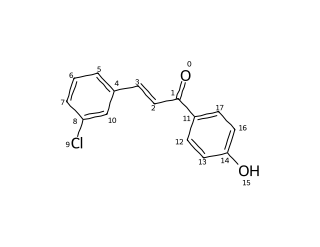 O=C(C=Cc1cccc(Cl)c1)c1ccc(O)cc1